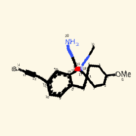 COC1CCC2(CC1)Cc1ccc(C#CC(C)(C)C)cc1C21N=C(N)N(C)O1